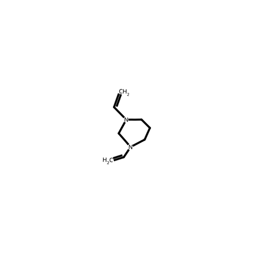 C=CN1CCCN(C=C)C1